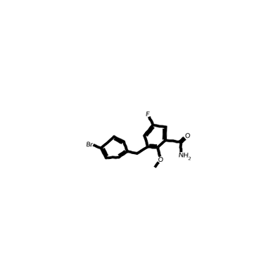 COc1c(Cc2ccc(Br)cc2)cc(F)cc1C(N)=O